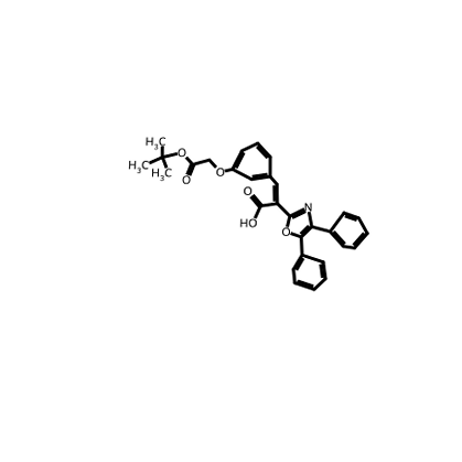 CC(C)(C)OC(=O)COc1cccc(C=C(C(=O)O)c2nc(-c3ccccc3)c(-c3ccccc3)o2)c1